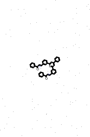 O=C(/C=C/c1cccc(-c2cc(-c3ccccc3)cc(-c3cccc(/C=C/C(=O)c4ccccc4)c3)n2)c1)c1ccccc1